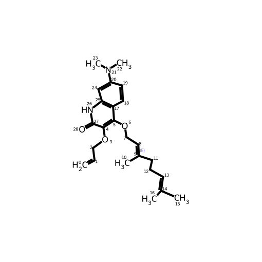 C=CCOc1c(OC/C=C(\C)CCC=C(C)C)c2ccc(N(C)C)cc2[nH]c1=O